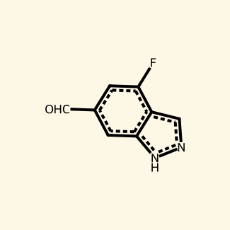 O=Cc1cc(F)c2cn[nH]c2c1